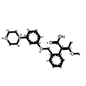 COC(C)=C(C(=O)O)c1ccccc1COc1cccc(N2CCOCC2)c1